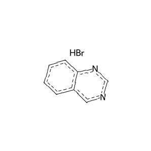 Br.c1ccc2ncncc2c1